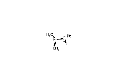 [CH3][Pt]([CH3])[CH3].[Pt]